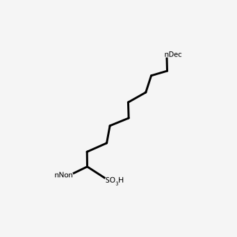 CCCCCCCCCCCCCCCCCCC(CCCCCCCCC)S(=O)(=O)O